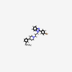 CC(=O)Nc1cccc(C2CCN(CCCn3c(-c4ccc(Br)cc4)nc4ccccc43)CC2)c1